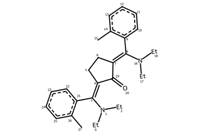 CCN(CC)C(=C1CCC(=C(c2ccccc2C)N(CC)CC)C1=O)c1ccccc1C